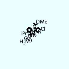 COCC(C)Oc1cc(Cl)ncc1NC(=O)C1(c2ccccc2C(C)C)CN(S(N)(=O)=O)C1